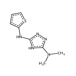 CN(C)c1nnc(Nc2cccs2)[nH]1